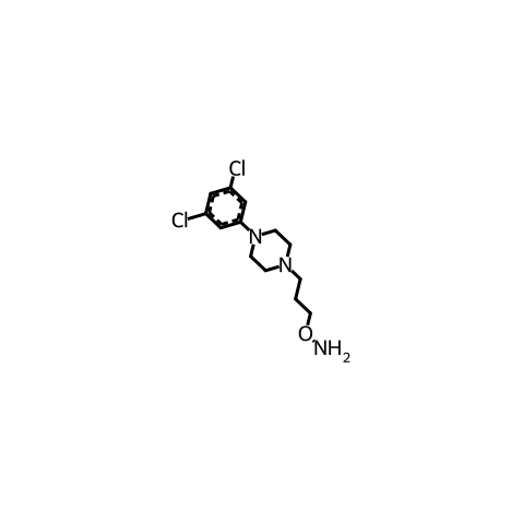 NOCCCN1CCN(c2cc(Cl)cc(Cl)c2)CC1